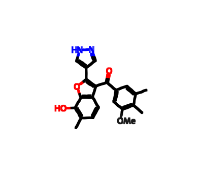 COc1cc(C(=O)c2c(-c3cn[nH]c3)oc3c(O)c(C)ccc23)cc(C)c1C